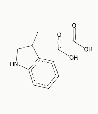 CC1CNc2ccccc21.O=CO.O=CO